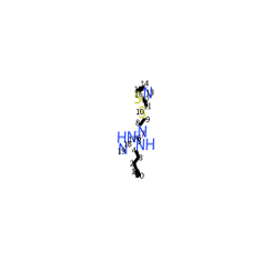 C#CCCCN/C(=N/CCSCc1nccs1)NC#N